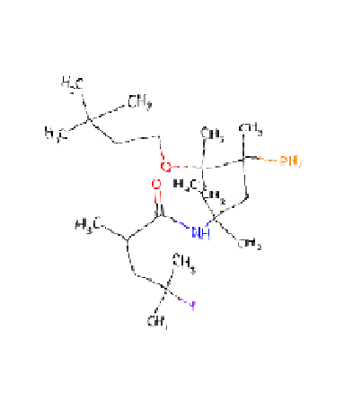 CC(CC(C)(C)I)C(=O)NC(C)(C)CC(C)(P)C(C)(C)OCCC(C)(C)C